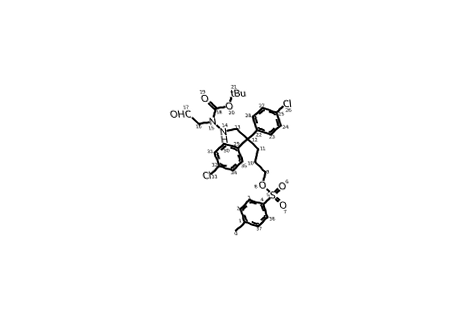 Cc1ccc(S(=O)(=O)OCCCC(CNN(CC=O)C(=O)OC(C)(C)C)(c2ccc(Cl)cc2)c2ccc(Cl)cc2)cc1